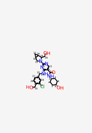 O=C(N[C@H]1CC[C@H](O)CC1)c1cnc(N2CC3CC3C2CO)nc1NCc1ccc(CO)c(Cl)c1